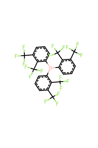 FC(F)(F)c1cccc(B(c2cccc(C(F)(F)F)c2C(F)(F)F)c2cccc(C(F)(F)F)c2C(F)(F)F)c1C(F)(F)F